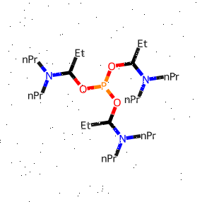 CCCN(CCC)C(CC)OP(OC(CC)N(CCC)CCC)OC(CC)N(CCC)CCC